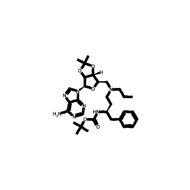 CCCN(CC[C@@H](Cc1ccccc1)NC(=O)OC(C)(C)C)C[C@H]1O[C@@H](n2cnc3c(N)ncnc32)C2OC(C)(C)O[C@@H]21